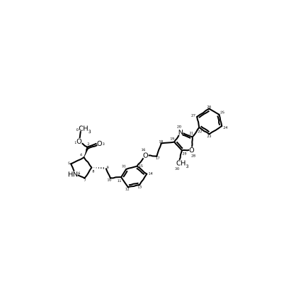 COC(=O)[C@@H]1CNC[C@H]1CCc1cccc(OCCc2nc(-c3ccccc3)oc2C)c1